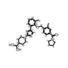 Cc1cc(C(=O)N2CCCC2)ccc1COc1c(C)cccc1-c1csc(N2CCC(C(O)O)CC2)n1